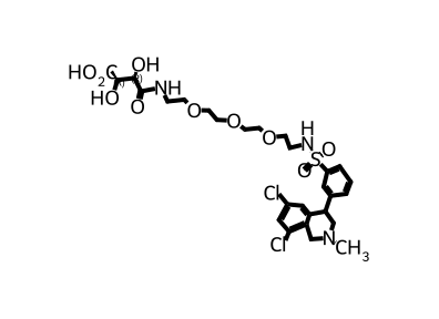 CN1Cc2c(Cl)cc(Cl)cc2C(c2cccc(S(=O)(=O)NCCOCCOCCOCCNC(=O)[C@H](O)[C@@H](O)C(=O)O)c2)C1